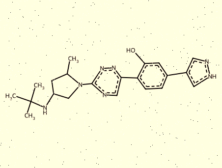 CC1CC(NC(C)(C)C)CN1c1ncc(-c2ccc(-c3cn[nH]c3)cc2O)nn1